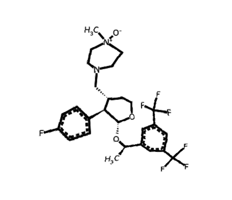 C[C@@H](O[C@H]1OCC[C@@H](CN2CC[N+](C)([O-])CC2)[C@@H]1c1ccc(F)cc1)c1cc(C(F)(F)F)cc(C(F)(F)F)c1